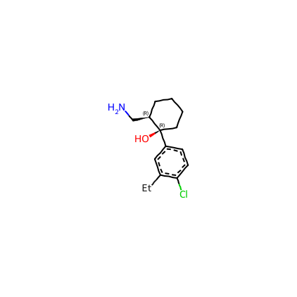 CCc1cc([C@@]2(O)CCCC[C@@H]2CN)ccc1Cl